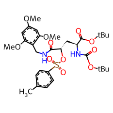 COc1cc(OC)c(CNC(=O)[C@H](C[C@H](NC(=O)OC(C)(C)C)C(=O)OC(C)(C)C)OS(=O)(=O)c2ccc(C)cc2)c(OC)c1